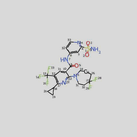 NS(=O)(=O)c1cc(NC(=O)c2cc(C(F)(F)F)c(C3CC3)nc2N2CCCC(F)(F)CC2)ccn1